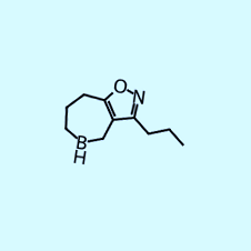 CCCc1noc2c1CBCCC2